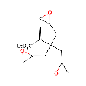 C=C(C(=O)OCC)C(CC1CO1)(CC1CO1)CC1CO1